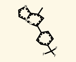 Cc1cc(-c2ccc(C(F)(F)F)cc2)cn2ccnc12